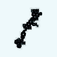 COc1cc(NC(=O)CCN2CCC3(CC2)CC(OC(=O)C(O)(c2cccs2)c2cccs2)C3)c(Cl)cc1CNC[C@H](O)c1ccc(O)c2c1OCC(=O)N2